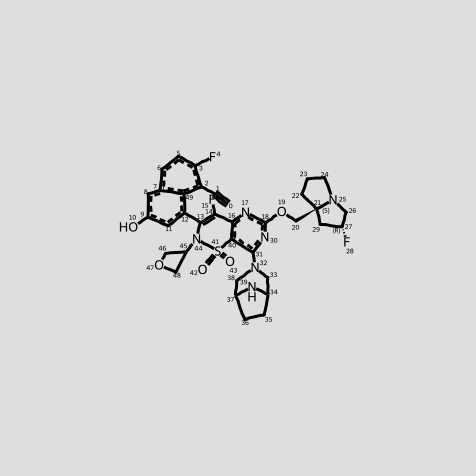 C#Cc1c(F)ccc2cc(O)cc(C3=C(F)c4nc(OC[C@@]56CCCN5C[C@H](F)C6)nc(N5CC6CCC(C5)N6)c4S(=O)(=O)N3C3COC3)c12